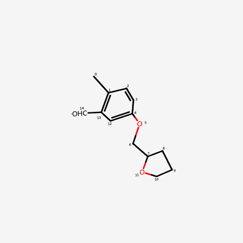 Cc1ccc(OCC2CCCO2)cc1[C]=O